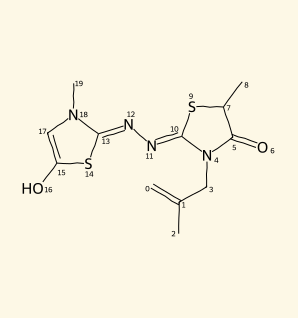 C=C(C)CN1C(=O)C(C)SC1=NN=c1sc(O)cn1C